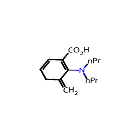 C=C1CC=CC(C(=O)O)=C1N(CCC)CCC